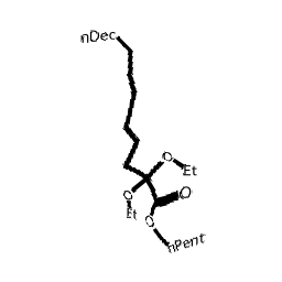 CCCCCCCCCCCCCCCCC(OCC)(OCC)C(=O)OCCCCC